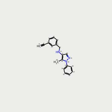 C#Cc1cccc(CNc2cnn(-c3ccccc3)c2C)c1